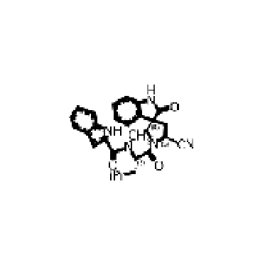 CC(C)C[C@@H](C(=O)N1C[C@]2(C[C@H]1C#N)C(=O)Nc1ccccc12)N(C)C(=O)c1cc2ccccc2[nH]1